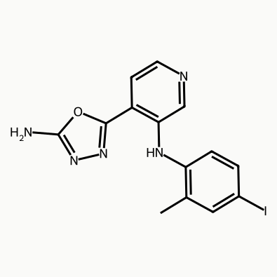 Cc1cc(I)ccc1Nc1cnccc1-c1nnc(N)o1